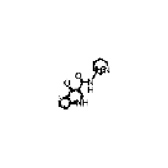 O=C(NC1CC2CCN(CC2)C1)c1c[nH]c2ccsc2c1=O